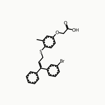 Cc1cc(OCC(=O)O)ccc1SCC=C(c1ccccc1)c1cccc(Br)c1